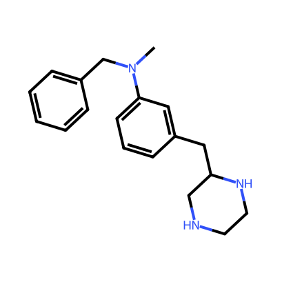 CN(Cc1ccccc1)c1cccc(CC2CNCCN2)c1